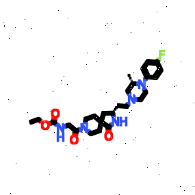 CCOC(=O)NCC(=O)N1CCC2(CC1)C[C@H](CCN1CCN(c3ccc(F)cc3)[C@@H](C)C1)NC2=O